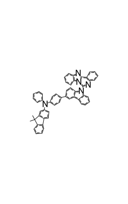 CC1(C)c2ccccc2-c2ccc(N(c3ccccc3)c3ccc(-c4ccc5c(c4)c4ccccc4n5-c4nc5ccccc5c5nc6ccccc6n45)cc3)cc21